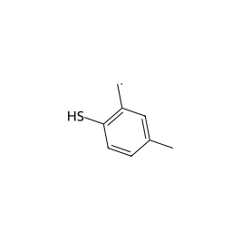 [CH2]c1cc(C)ccc1S